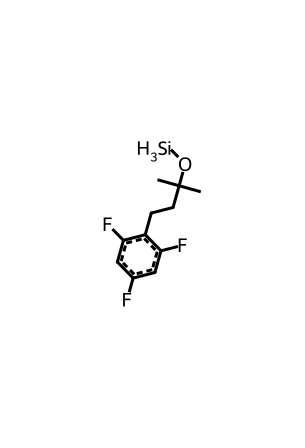 CC(C)(CCc1c(F)cc(F)cc1F)O[SiH3]